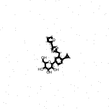 OCC1OC(c2ccc(C3CC3)c(Cc3ncc(-c4ccco4)s3)c2)C(O)C(O)C1O